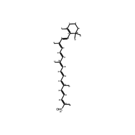 CC(C=CC1=C(C)CCCC1(C)C)=C/C=C/C(C)=C/C=C/C=C(C)/C=C/C=C(\C)C=O